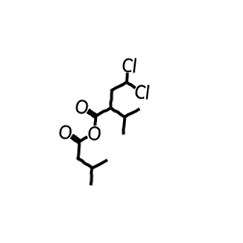 CC(C)CC(=O)OC(=O)C(CC(Cl)Cl)C(C)C